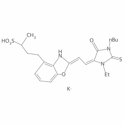 CCCCN1C(=O)C(=CC=C2Nc3c(CCC(C)S(=O)(=O)O)cccc3O2)N(CC)C1=S.[K]